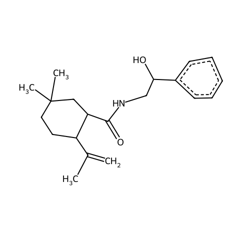 C=C(C)C1CCC(C)(C)CC1C(=O)NCC(O)c1ccccc1